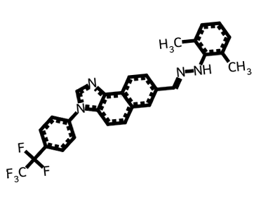 Cc1cccc(C)c1N/N=C/c1ccc2c(ccc3c2ncn3-c2ccc(C(F)(F)C(F)(F)F)cc2)c1